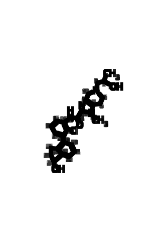 CC(O)CN1CCc2c(nc(C(=O)Nc3cccc(-c4cccc5c4CCC5O)c3Cl)n2C)C1